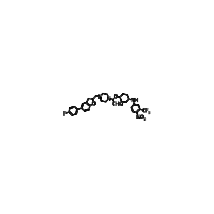 O=CC(OC1CCC(Nc2ccc([N+](=O)[O-])c(C(F)(F)F)c2)CC1)N1CCN(CC2Cc3cc(-c4ccc(F)cc4)ccc3O2)CC1